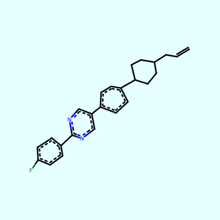 C=CCC1CCC(c2ccc(-c3cnc(-c4ccc(F)cc4)nc3)cc2)CC1